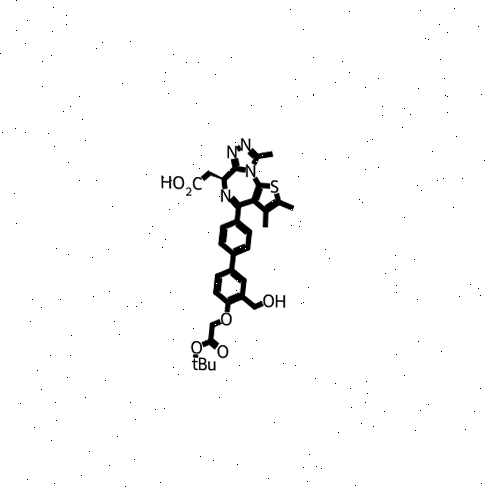 Cc1sc2c(c1C)C(c1ccc(-c3ccc(OCC(=O)OC(C)(C)C)c(CO)c3)cc1)=N[C@@H](CC(=O)O)c1nnc(C)n1-2